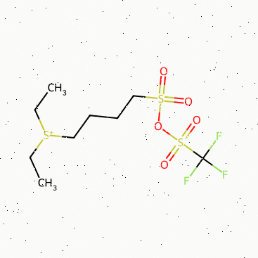 CC[S+](CC)CCCCS(=O)(=O)OS(=O)(=O)C(F)(F)F